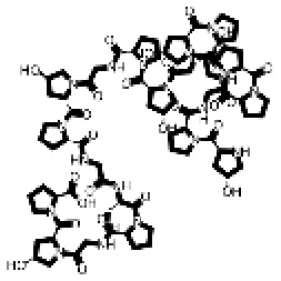 O=C(CNC(=O)[C@@H]1CCCN1C(=O)[C@@H]1C[C@@H](O)CN1C(=O)CNC(=O)[C@@H]1CCCN1C(=O)[C@@H]1C[C@@H](O)CN1C(=O)CNC(=O)[C@@H]1CCCN1C(=O)[C@@H]1C[C@@H](O)CN1C(=O)CNC(=O)[C@@H]1CCCN1C(=O)[C@@H]1C[C@@H](O)CN1C(=O)CNC(=O)[C@@H]1CCCN1C(=O)[C@@H]1C[C@@H](O)CN1)N[C@@H](CS)C(=O)N1CCC[C@H]1C(=O)NCC(=O)N1C[C@H](O)C[C@H]1C(=O)N1CCC[C@H]1C(=O)O